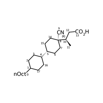 CCCCCCCCC1CCC([C@H]2CC[C@](C#N)([C@H](C)CC(=O)O)CC2)CC1